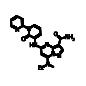 CCN(C)c1cc(Nc2cccn(-c3ccccn3)c2=O)nc2c(C(N)=O)cnn12